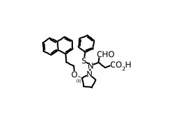 O=CC(CC(=O)O)N(Sc1ccccc1)N1CCC[C@@H]1OCCc1cccc2ccccc12